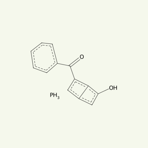 O=C(c1ccccc1)c1cc2cc(O)c1-2.P